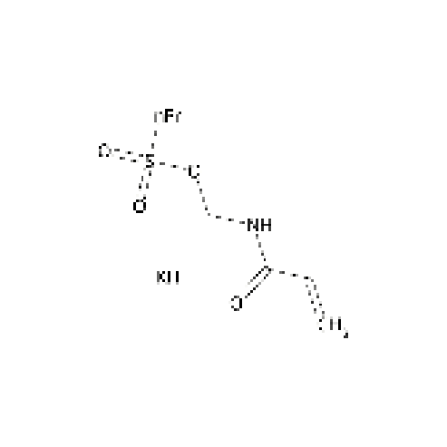 C=CC(=O)NCOS(=O)(=O)CCC.[KH]